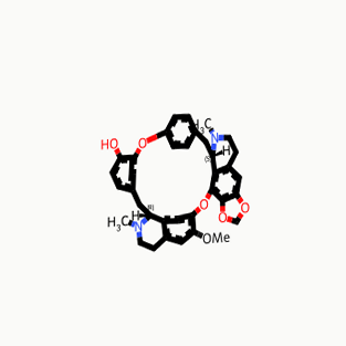 COc1cc2c3cc1Oc1c4c(cc5c1[C@H](Cc1ccc(cc1)Oc1cc(ccc1O)C[C@H]3N(C)CC2)N(C)CC5)OCO4